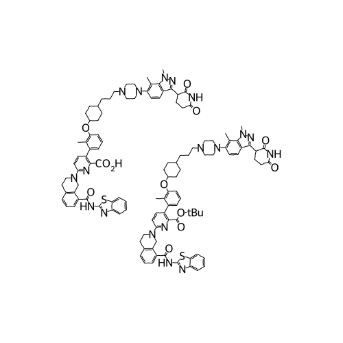 Cc1c(OC2CCC(CCCN3CCN(c4ccc5c(C6CCC(=O)NC6=O)nn(C)c5c4C)CC3)CC2)cccc1-c1ccc(N2CCc3cccc(C(=O)Nc4nc5ccccc5s4)c3C2)nc1C(=O)O.Cc1c(OC2CCC(CCCN3CCN(c4ccc5c(C6CCC(=O)NC6=O)nn(C)c5c4C)CC3)CC2)cccc1-c1ccc(N2CCc3cccc(C(=O)Nc4nc5ccccc5s4)c3C2)nc1C(=O)OC(C)(C)C